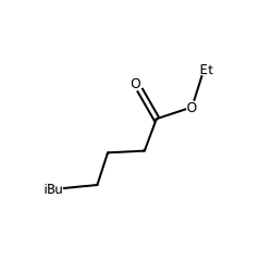 CCOC(=O)CCCC(C)CC